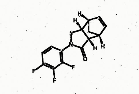 O=C1[C@@H]2[C@H](SN1c1ccc(F)c(F)c1F)[C@@H]1C=C[C@H]2C1